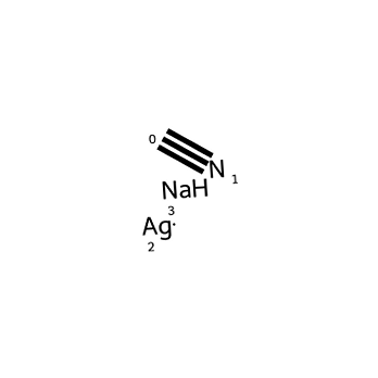 C#N.[Ag].[NaH]